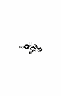 Oc1ccc(Nc2nc(Br)nc3c2ncn3C2CCCO2)cc1